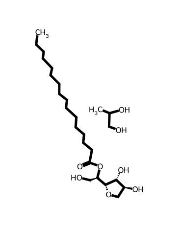 CC(O)CO.CCCCCCCCCCCCCCCC(=O)O[C@H](CO)[C@H]1OC[C@H](O)[C@H]1O